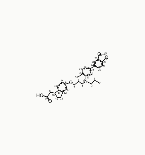 CCCN(CCCOc1ccc2c(c1)CC[C@H]2CC(=O)O)c1nc(-c2ccc3c(c2)OCO3)ncc1C